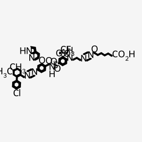 CC1(C)CCC(CN2CCN(c3ccc(C(=O)NS(=O)(=O)c4ccc(NCCCN5CCN(C(=O)CCCCCC(=O)O)CC5)c(S(=O)(=O)C(F)(F)F)c4)c(Oc4cnc5[nH]ccc5c4)c3)CC2)=C(c2ccc(Cl)cc2)C1